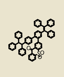 O=C1c2ccccc2S(=O)(=O)c2ccc(-c3cc(C(=C(c4ccccc4)c4ccccc4)c4ccccc4)ccc3-c3ccc(C(c4ccccc4)C(c4ccccc4)c4ccccc4)cc3)cc21